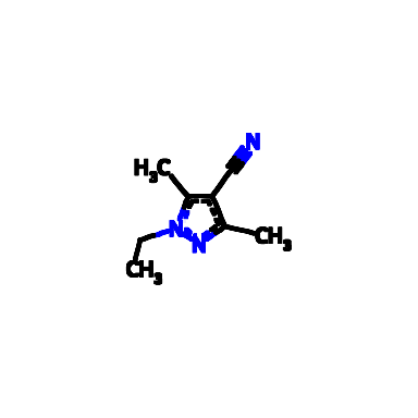 CCn1nc(C)c(C#N)c1C